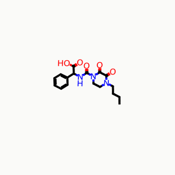 CCCCN1CCN(C(=O)NC(C(=O)O)c2ccccc2)C(=O)C1=O